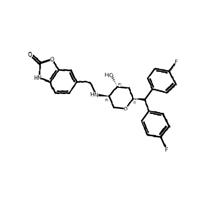 O=c1[nH]c2ccc(CN[C@@H]3CO[C@H](C(c4ccc(F)cc4)c4ccc(F)cc4)C[C@H]3O)cc2o1